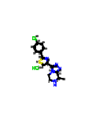 CC1NCCn2c(-c3csc(-c4ccc(Cl)cc4)n3)nnc21.Cl